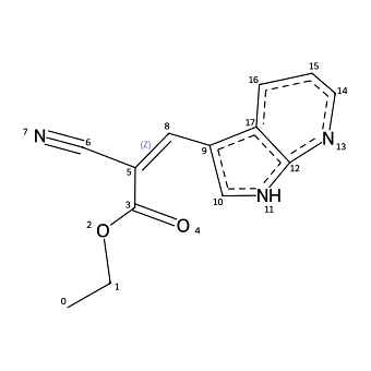 CCOC(=O)/C(C#N)=C\c1c[nH]c2ncccc12